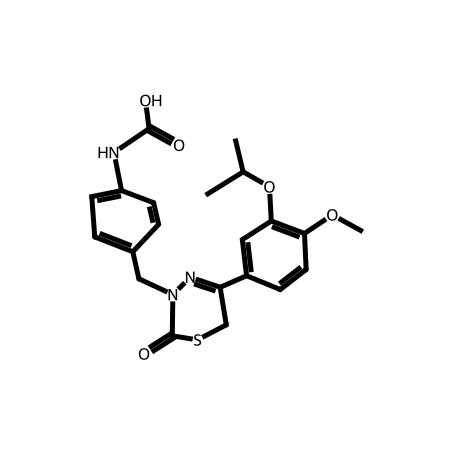 COc1ccc(C2=NN(Cc3ccc(NC(=O)O)cc3)C(=O)SC2)cc1OC(C)C